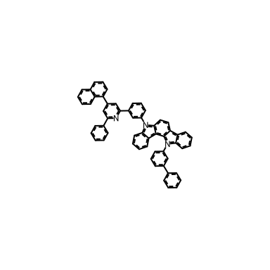 c1ccc(-c2cccc(-n3c4ccccc4c4ccc5c(c6ccccc6n5-c5cccc(-c6cc(-c7cccc8ccccc78)cc(-c7ccccc7)n6)c5)c43)c2)cc1